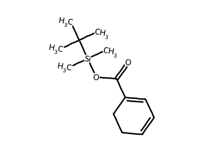 CC(C)(C)[Si](C)(C)OC(=O)C1=CC=CCC1